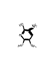 Nc1cc(N)c(O)nc1O